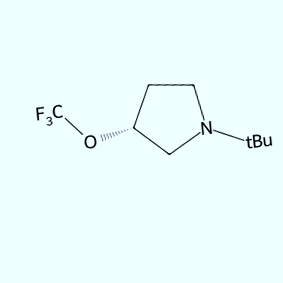 CC(C)(C)N1CC[C@@H](OC(F)(F)F)C1